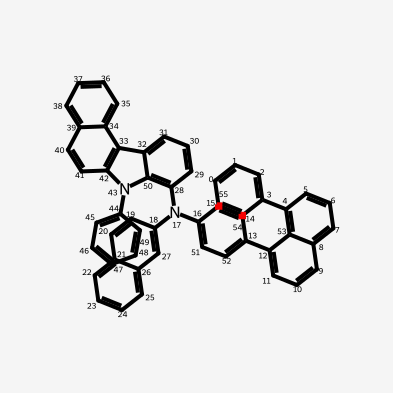 c1ccc(-c2cccc3cccc(-c4ccc(N(c5ccc6ccccc6c5)c5cccc6c7c8ccccc8ccc7n(-c7ccccc7)c56)cc4)c23)cc1